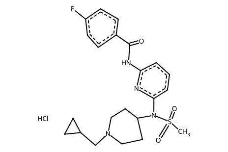 CS(=O)(=O)N(c1cccc(NC(=O)c2ccc(F)cc2)n1)C1CCN(CC2CC2)CC1.Cl